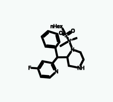 CCCCCCS(=O)(=O)[N+](C)(C)N1CCNCC1C(c1ccccc1)c1cc(F)ccn1